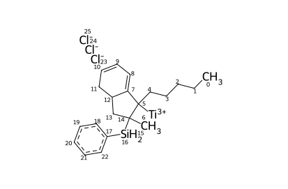 CCCCC[C]1([Ti+3])C2=CC=CCC2CC1(C)[SiH2]c1ccccc1.[Cl-].[Cl-].[Cl-]